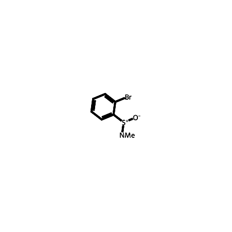 CN[S+]([O-])c1ccccc1Br